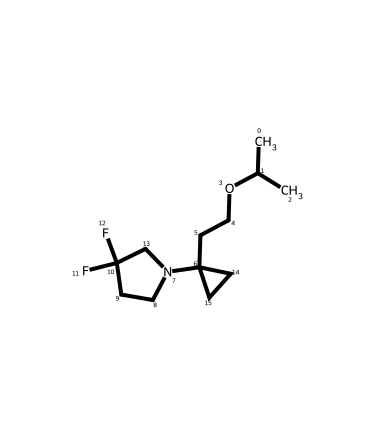 CC(C)OCCC1(N2CCC(F)(F)C2)CC1